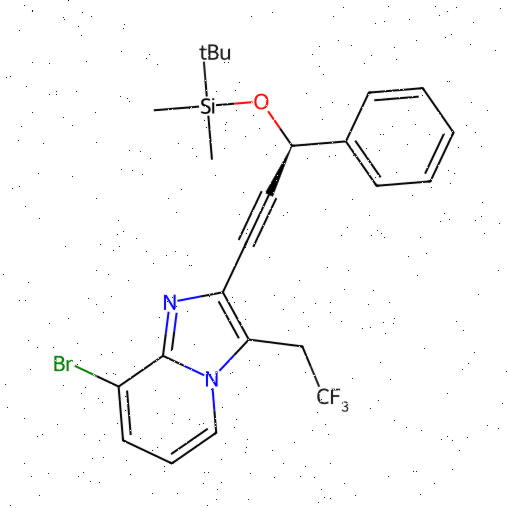 CC(C)(C)[Si](C)(C)O[C@H](C#Cc1nc2c(Br)cccn2c1CC(F)(F)F)c1ccccc1